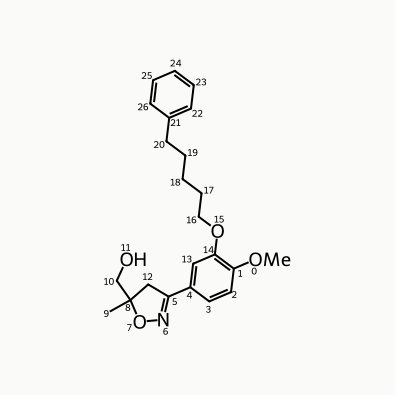 COc1ccc(C2=NOC(C)(CO)C2)cc1OCCCCCc1ccccc1